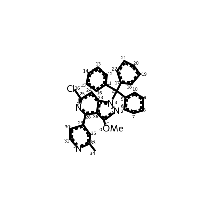 COc1nn(C(c2ccccc2)(c2ccccc2)c2ccccc2)c2cc(Cl)nc(-c3ccnc(C)c3)c12